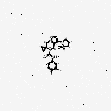 O=C(Nc1ccc(F)c(F)c1)N1Cc2c(N3CCCS3(=O)=O)cnn2CC12CC2